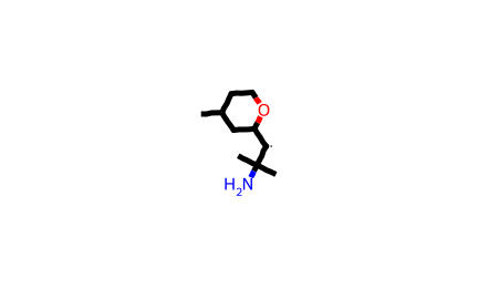 CC1CCOC([CH]C(C)(C)N)C1